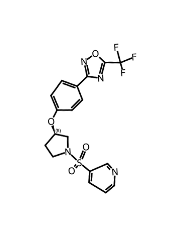 O=S(=O)(c1cccnc1)N1CC[C@@H](Oc2ccc(-c3noc(C(F)(F)F)n3)cc2)C1